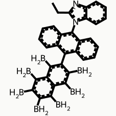 Bc1c(B)c(B)c2c(B)c(-c3c4ccccc4c(-n4c(CC)nc5ccccc54)c4ccccc34)c(B)c(B)c2c1B